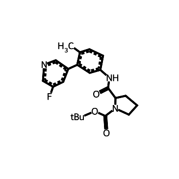 Cc1ccc(NC(=O)C2CCCN2C(=O)OC(C)(C)C)cc1-c1cncc(F)c1